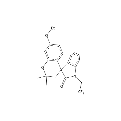 CCOc1ccc2c(c1)OC(C)(C)CC21C(=O)N(CC(F)(F)F)c2ccccc21